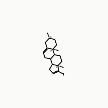 C[C@H]1CC[C@@]2(C)C(=CCC3C2CC[C@]2(C)C(I)=CCC32)C1